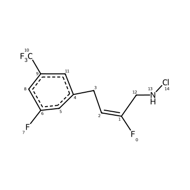 F/C(=C/Cc1cc(F)cc(C(F)(F)F)c1)CNCl